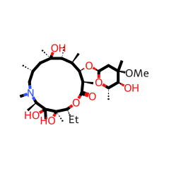 CC[C@H]1OC(=O)[C@H](C)[C@@H](O[C@H]2C[C@@](C)(OC)[C@@H](O)[C@H](C)O2)[C@H](C)[C@@H](C)[C@](C)(O)C[C@@H](C)CN(C)[C@H](C)C(C)(O)[C@]1(C)O